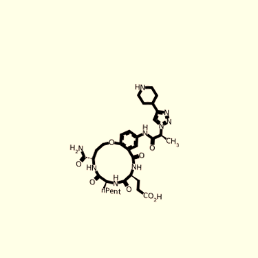 CCCCC[C@@H]1NC(=O)[C@H](CCC(=O)O)NC(=O)c2cc(NC(=O)[C@H](C)n3cc(C4CCNCC4)nn3)ccc2OCC[C@@H](C(N)=O)NC1=O